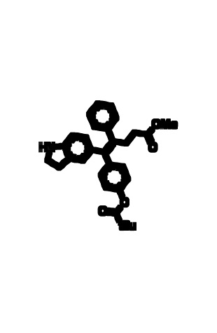 COC(=O)CC/C(=C(\c1ccc(OC(=O)C(C)(C)C)cc1)c1ccc2c(c1)CCN2)c1ccccc1